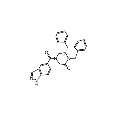 O=C(c1ccc2[nH]ncc2c1)N1CC(=O)N(Cc2ccccc2)[C@@H](Cc2ccccc2)C1